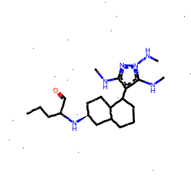 CCCC(C=O)N[C@H]1CCC2C(CCCC2c2c(NC)nn(NC)c2NC)C1